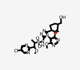 COc1ncnc(OC)c1-n1c(NS(=O)(=O)C(C)C(OC)c2ncc(Cl)cn2)nnc1C1CCC(CO)CC1